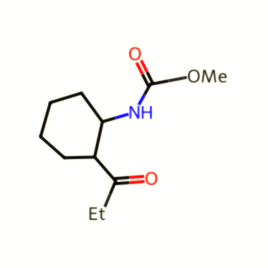 CCC(=O)C1CCCCC1NC(=O)OC